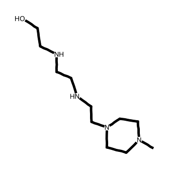 CN1CCN(CCNCCNCCO)CC1